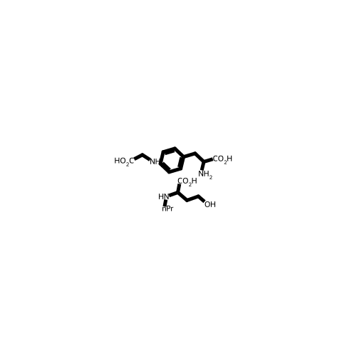 CCCNC(CCO)C(=O)O.NC(Cc1ccccc1)C(=O)O.NCC(=O)O